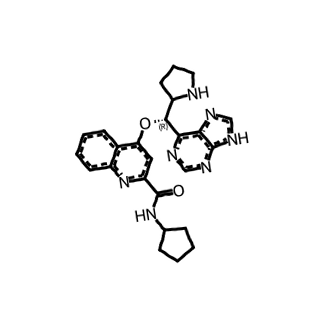 O=C(NC1CCCC1)c1cc(O[C@@H](c2ncnc3[nH]cnc23)C2CCCN2)c2ccccc2n1